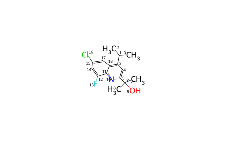 CC(C)c1cc(C(C)(C)O)nc2c(F)cc(Cl)cc12